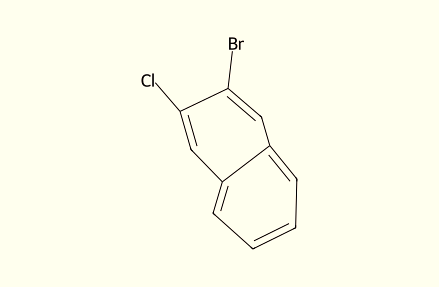 Clc1cc2ccccc2cc1Br